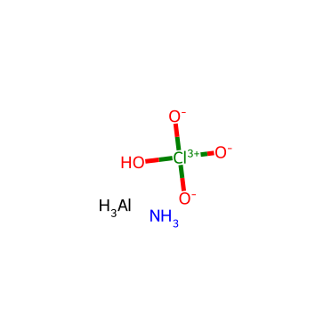 N.[AlH3].[O-][Cl+3]([O-])([O-])O